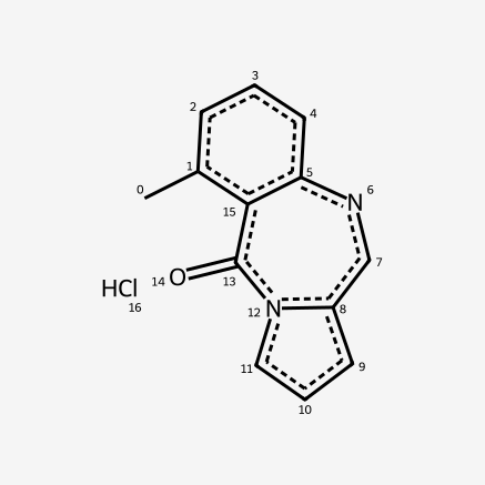 Cc1cccc2ncc3cccn3c(=O)c12.Cl